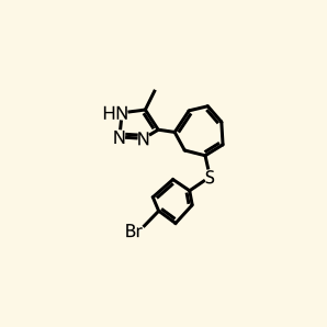 Cc1[nH]nnc1C1=CC=CC=C(Sc2ccc(Br)cc2)C1